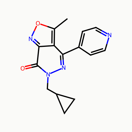 Cc1onc2c(=O)n(CC3CC3)nc(-c3ccncc3)c12